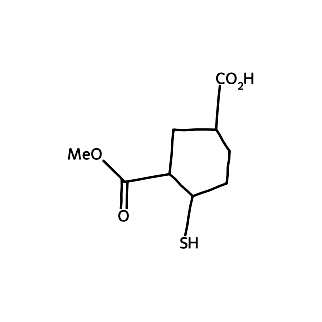 COC(=O)C1CC(C(=O)O)CCC1S